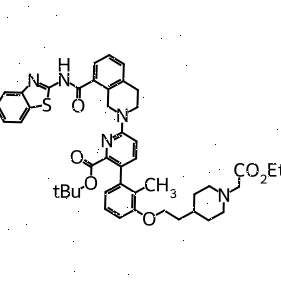 CCOC(=O)CN1CCC(CCOc2cccc(-c3ccc(N4CCc5cccc(C(=O)Nc6nc7ccccc7s6)c5C4)nc3C(=O)OC(C)(C)C)c2C)CC1